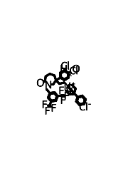 O.O=C1CCCC(CC[N+]23CCC(c4ccccc4)(CC2)CC3)(c2ccc(Cl)c(Cl)c2)CN1Cc1cc(C(F)(F)F)cc(C(F)(F)F)c1.[Cl-]